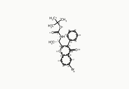 C[C@H](NC(=O)OC(C)(C)C)c1oc2ccc(Br)cc2c(=O)c1-c1ccccc1